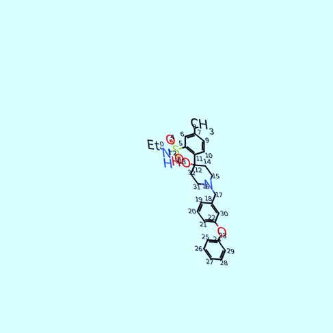 CCNS(=O)(=O)c1cc(C)ccc1C1(O)CCN(Cc2cccc(Oc3ccccc3)c2)CC1